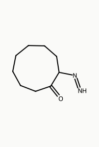 N=NC1CCCCCCCC1=O